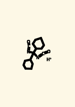 O=C=NC(N=C=O)(C1CCCCC1)C1CCCCC1.[H+]